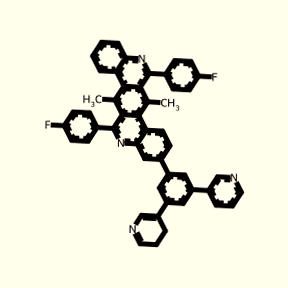 Cc1c2c(-c3ccc(F)cc3)nc3cc(-c4cc(C5=CN=CCC5)cc(-c5cccnc5)c4)ccc3c2c(C)c2c(-c3ccc(F)cc3)nc3ccccc3c12